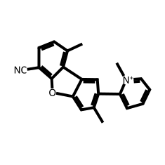 Cc1cc2oc3c(C#N)ccc(C)c3c2cc1-c1cccc[n+]1C